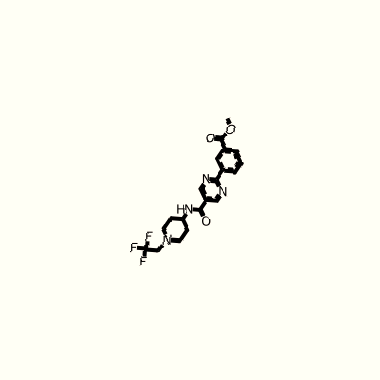 COC(=O)c1cccc(-c2ncc(C(=O)NC3CCN(CC(F)(F)F)CC3)cn2)c1